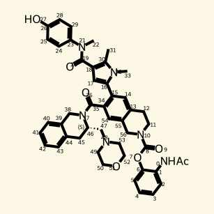 CC(=O)Nc1ccccc1OC(=O)N1CCc2cc(-c3cc(C(=O)N(C)c4ccc(O)cc4)c(C)n3C)c(C(=O)N3Cc4ccccc4C[C@H]3CN3CCOCC3)cc2C1